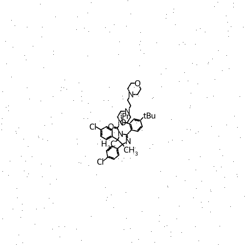 CC(C)Oc1cc(C(C)(C)C)ccc1C1=NC(C)(c2ccc(Cl)cc2)C(C)(c2ccc(Cl)cc2)N1C(=O)N1CCN(CCN2CCOCC2)CC1